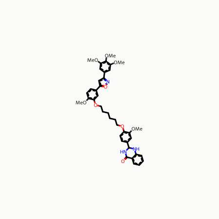 COc1cc(C2NC(=O)c3ccccc3N2)ccc1OCCCCCCOc1cc(-c2cc(-c3cc(OC)c(OC)c(OC)c3)no2)ccc1OC